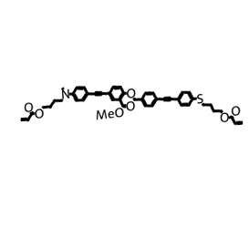 C=CC(=O)OCCCCSc1ccc(C#Cc2ccc(COc3ccc(C#Cc4ccc(N(C)CCCCOC(=O)C=C)cc4)cc3C(=O)OC)cc2)cc1